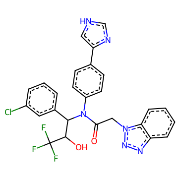 O=C(Cn1nnc2ccccc21)N(c1ccc(-c2c[nH]cn2)cc1)C(c1cccc(Cl)c1)C(O)C(F)(F)F